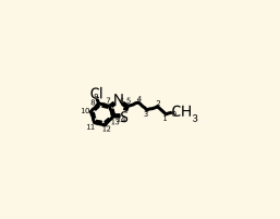 CCCCCc1nc2c(Cl)cccc2s1